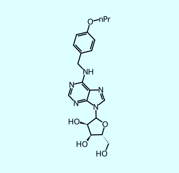 CCCOc1ccc(CNc2ncnc3c2ncn3C2O[C@H](CO)[C@@H](O)[C@H]2O)cc1